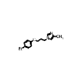 CCc1ccc(OCCCn2cnc(C)c2)cc1